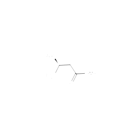 COC(=O)C[C@H](OC(C)=O)C(=O)O